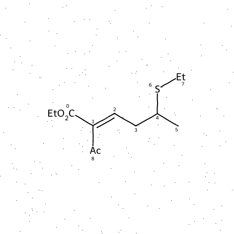 CCOC(=O)C(=CCC(C)SCC)C(C)=O